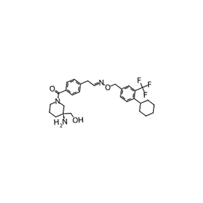 N[C@@]1(CO)CCCN(C(=O)c2ccc(CC=NOCc3ccc(C4CCCCC4)c(C(F)(F)F)c3)cc2)C1